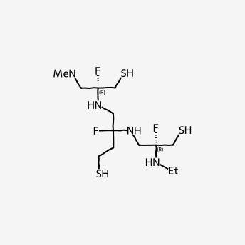 CCN[C@](F)(CS)CNC(F)(CCS)CN[C@](F)(CS)CNC